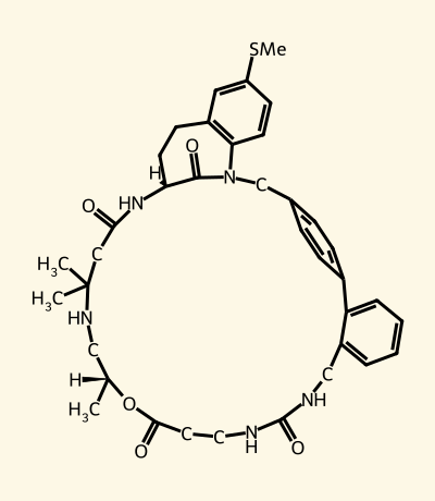 CSc1ccc2c(c1)CC[C@H]1NC(=O)CC(C)(C)NC[C@@H](C)OC(=O)CCNC(=O)NCc3ccccc3-c3ccc(cc3)CN2C1=O